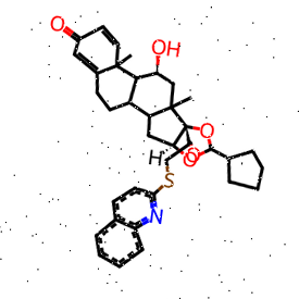 CC12C=CC(=O)C=C1CCC1C2[C@@H](O)CC2(C)C1C[C@@H]1OC(C3CCCC3)O[C@]12C(=O)CSc1ccc2ccccc2n1